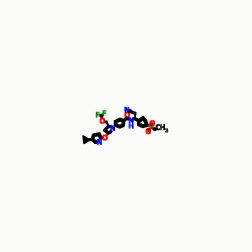 CCS(=O)(=O)c1ccc([C@H](CC#N)NC(=O)c2ccc(N3C[C@@H](Oc4ccc(C5CC5)cn4)C[C@H]3COC(F)F)cc2)cc1